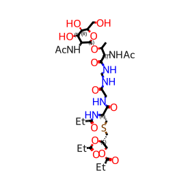 CCC(=O)N[C@@H](CSC[C@H](COC(=O)CC)OC(=O)CC)C(=O)NCC(=O)NCNC(=O)[C@@H](NC(C)=O)C(C)O[C@H]1OC(CO)[C@H](O)[C@H](O)C1NC(C)=O